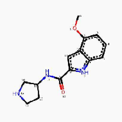 COc1cccc2[nH]c(C(=O)NC3CCNC3)cc12